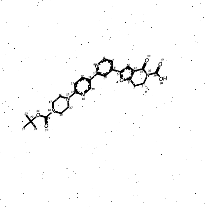 C[C@@H]1Cc2oc(-c3ccnc(-c4ccc(N5CCN(C(=O)OC(C)(C)C)CC5)nc4)c3)cc2C(=O)N1C(=O)O